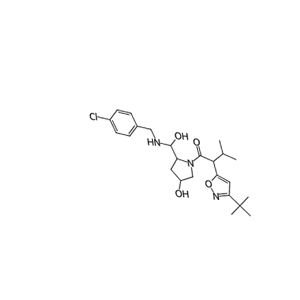 CC(C)C(C(=O)N1CC(O)CC1C(O)NCc1ccc(Cl)cc1)c1cc(C(C)(C)C)no1